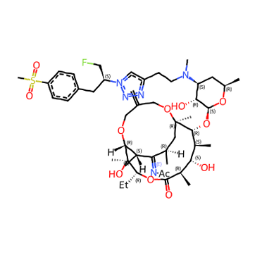 C=C1CO[C@@H]2[C@@H](C)/C(=N/C(C)=O)[C@H](C)C[C@@](C)(OC1)[C@H](O[C@@H]1O[C@H](C)C[C@H](N(C)CCc3cn([C@H](CF)Cc4ccc(S(C)(=O)=O)cc4)nn3)[C@H]1O)[C@@H](C)[C@H](O)[C@@H](C)C(=O)O[C@H](CC)[C@@]2(C)O